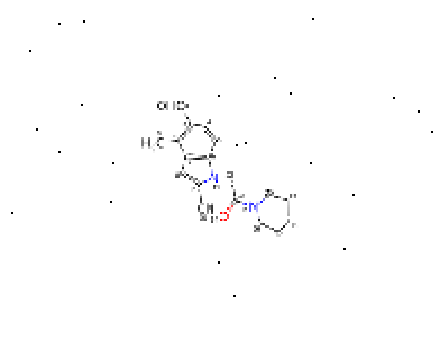 Cc1c(C=O)ccc2c1cc(C#N)n2CC(=O)N1CCCCC1